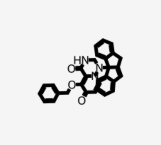 O=C1NCN(C23C(=Cc4ccccc42)Cc2ccccc23)n2ccc(=O)c(OCc3ccccc3)c21